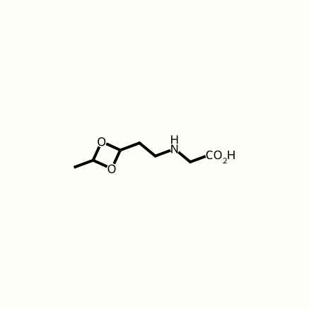 CC1OC(CCNCC(=O)O)O1